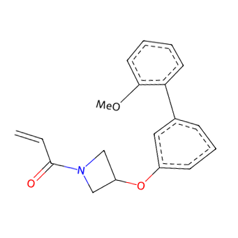 C=CC(=O)N1CC(Oc2cccc(-c3ccccc3OC)c2)C1